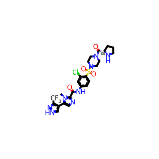 Cn1c(-c2c[nH]nc2C(F)(F)F)cnc1C(=O)Nc1ccc(S(=O)(=O)N2CCN(C(=O)[C@@H]3CCCN3)CC2)c(Cl)c1